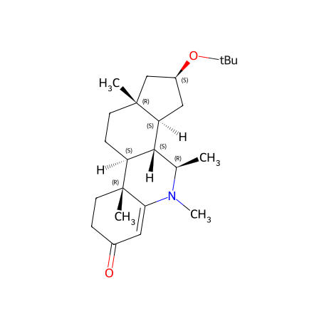 C[C@@H]1[C@H]2[C@@H]3C[C@H](OC(C)(C)C)C[C@@]3(C)CC[C@@H]2[C@@]2(C)CCC(=O)C=C2N1C